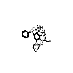 CCC(C)Nc1c(N2CCOCC2)cc(Sc2ccccc2)c(S(N)(=O)=O)c1[N+](=O)[O-]